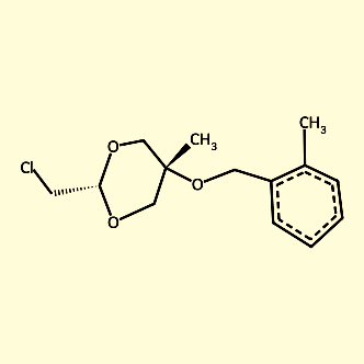 Cc1ccccc1CO[C@]1(C)CO[C@H](CCl)OC1